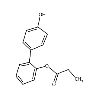 CCC(=O)Oc1ccccc1-c1ccc(O)cc1